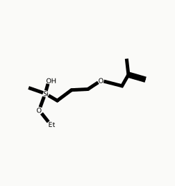 C=C(C)COCCC[Si](C)(O)OCC